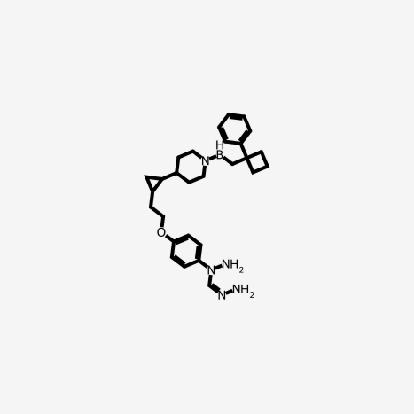 N/N=C\N(N)c1ccc(OCCC2CC2C2CCN(BCC3(c4ccccc4)CCC3)CC2)cc1